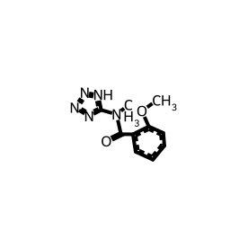 COc1ccccc1C(=O)N(C)c1nnn[nH]1